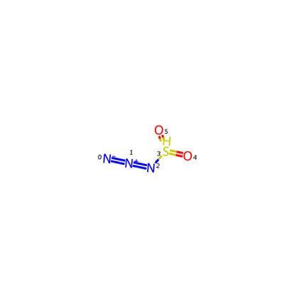 [N-]=[N+]=N[SH](=O)=O